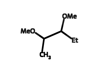 CCC(OC)C(C)OC